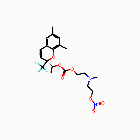 Cc1cc(C)c2c(c1)C=C[C@](C(C)OC(=O)OCCN(C)CCO[N+](=O)[O-])(C(F)(F)F)O2